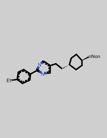 CCCCCCCCC[C@H]1CC[C@H](CCc2cnc(-c3ccc(CC)cc3)nc2)CC1